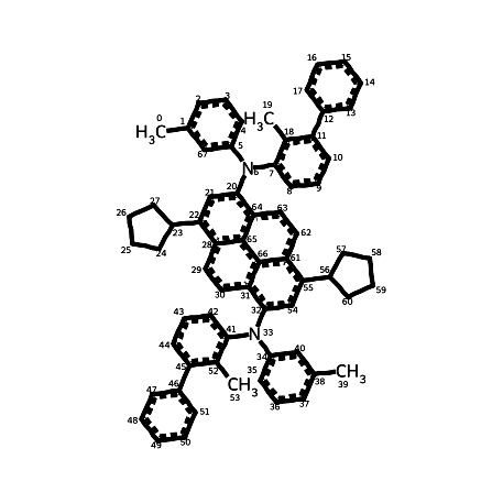 Cc1cccc(N(c2cccc(-c3ccccc3)c2C)c2cc(C3CCCC3)c3ccc4c(N(c5cccc(C)c5)c5cccc(-c6ccccc6)c5C)cc(C5CCCC5)c5ccc2c3c54)c1